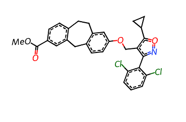 COC(=O)c1ccc2c(c1)Cc1ccc(OCc3c(-c4c(Cl)cccc4Cl)noc3C3CC3)cc1CC2